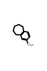 O=C(O)c1ccc2c(c1)CCCCC2